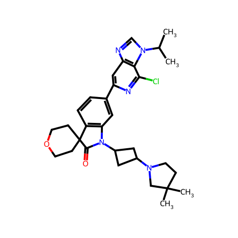 CC(C)n1cnc2cc(-c3ccc4c(c3)N(C3CC(N5CCC(C)(C)C5)C3)C(=O)C43CCOCC3)nc(Cl)c21